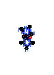 c1ccc2c(c1)-c1nc-2nc2[nH]c(nc3nc(nc4[nH]c(n1)c1ccccc41)-c1ccccc1-3)c1c(Oc3cccc4c5nc6nc(nc7[nH]c(nc8nc(nc([nH]5)c34)-c3ccccc3-8)c3ccccc73)-c3ccccc3-6)cccc21